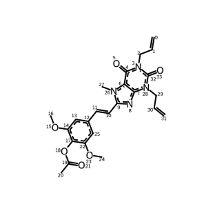 C=CCn1c(=O)c2c(nc(C=Cc3cc(OC)c(OC(C)=O)c(OC)c3)n2C)n(CC=C)c1=O